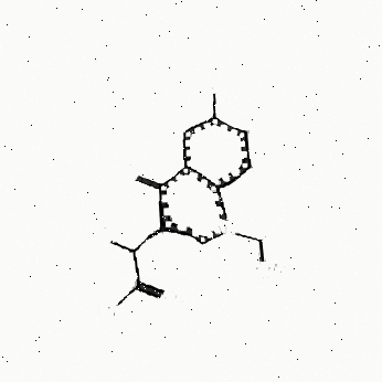 CCC(C(N)=O)c1cn(COC)c2ccc(F)cc2c1=O